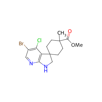 COC(=O)C1(C)CCC2(CC1)CNc1ncc(Br)c(Cl)c12